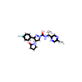 Cc1cnc([C@@H](C)NC(=O)N2C[C@@H](N3CCCC3=O)C(c3ccc(F)cc3)=N2)cn1